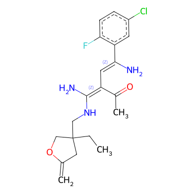 C=C1CC(CC)(CN/C(N)=C(/C=C(\N)c2cc(Cl)ccc2F)C(C)=O)CO1